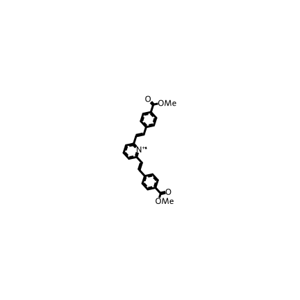 COC(=O)c1ccc(/C=C/c2cccc(/C=C/c3ccc(C(=O)OC)cc3)[n+]2C)cc1